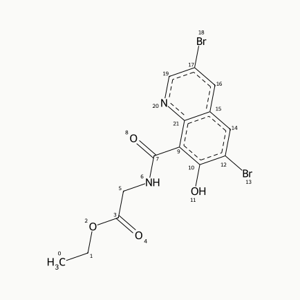 CCOC(=O)CNC(=O)c1c(O)c(Br)cc2cc(Br)cnc12